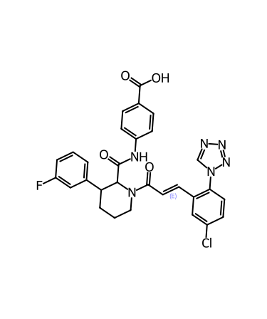 O=C(O)c1ccc(NC(=O)C2C(c3cccc(F)c3)CCCN2C(=O)/C=C/c2cc(Cl)ccc2-n2cnnn2)cc1